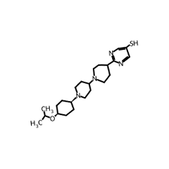 CC(C)O[C@H]1CC[C@@H](N2CCC(N3CCC(c4ncc(S)cn4)CC3)CC2)CC1